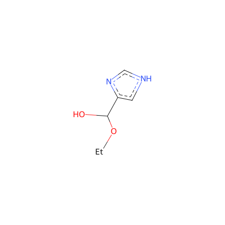 CCOC(O)c1c[nH]cn1